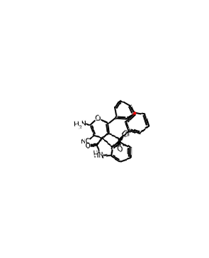 N#CC1=C(N)OC(c2ccccc2)=C(C(=O)c2ccccc2)C12C(=O)Nc1cccc(Cl)c12